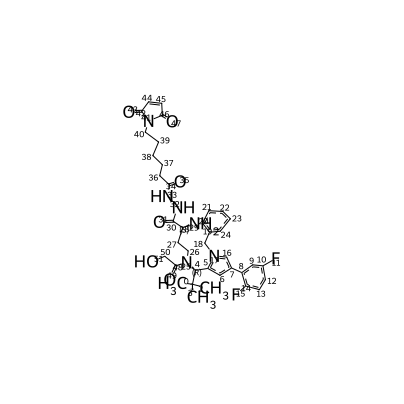 CC(C)(C)[C@H](c1cc(-c2cc(F)ccc2F)cn1Cc1ccccc1)N(CC[C@H](N)C(=O)NNC(=O)CCCCCN1C(=O)C=CC1=O)C(=O)CO